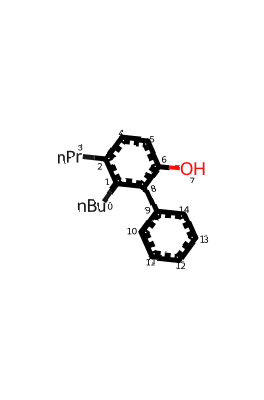 CCCCc1c(CCC)ccc(O)c1-c1ccccc1